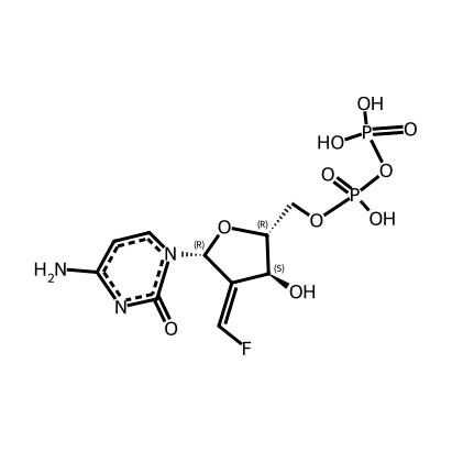 Nc1ccn([C@@H]2O[C@H](COP(=O)(O)OP(=O)(O)O)[C@@H](O)C2=CF)c(=O)n1